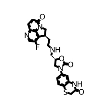 O=C1CSc2ccc(N3C[C@H](CNCC[C@@H]4Cn5c(=O)ccc6ncc(F)c4c65)OC3=O)cc2N1